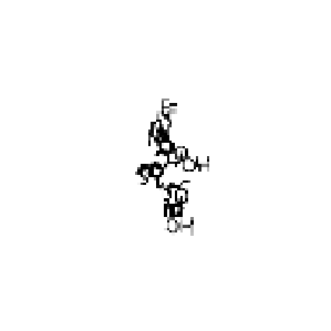 CC[C@@H]1CN(Cc2cc([C@H](CC(=O)O)c3ccc4c(nnn4CC(F)(F)F)c3C)cc3ccsc23)Cc2nc(O)ccc2O1